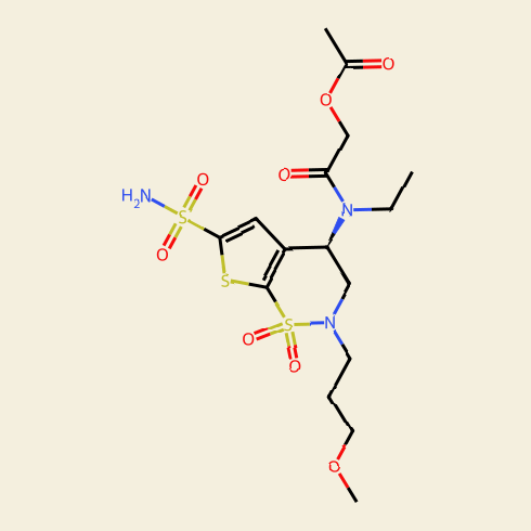 CCN(C(=O)COC(C)=O)[C@H]1CN(CCCOC)S(=O)(=O)c2sc(S(N)(=O)=O)cc21